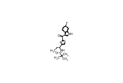 CC[C@H](N[S@@+]([O-])C(C)(C)C)c1csc(C(=O)c2c[nH]c3cc(F)ccc23)n1